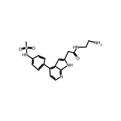 CS(=O)(=O)Nc1ccc(-c2ccnc3[nH]c(CC(=O)NCCN)cc23)cc1